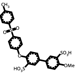 COc1ccc(-c2ccc(Oc3ccc(S(=O)(=O)c4ccc(C)cc4)cc3)c(S(=O)(=O)O)c2)cc1S(=O)(=O)O